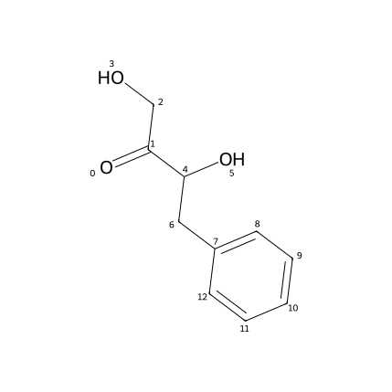 O=C(CO)C(O)Cc1ccccc1